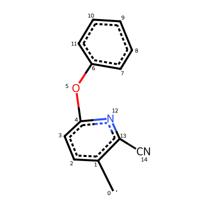 [CH2]c1ccc(Oc2ccccc2)nc1C#N